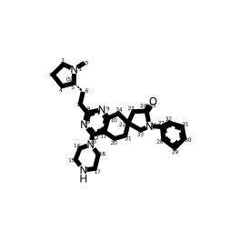 CN1CCC[C@H]1CCc1nc2c(c(N3CCNCC3)n1)CCC1(CC(=O)N(c3ccccc3)C1)C2